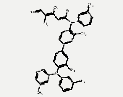 C=C/C(C)=C(C)/C=C(\CC)N(c1cccc(C)c1)c1ccc(-c2ccc(N(c3cccc(C)c3)c3cccc(C)c3)c(C)c2)cc1C